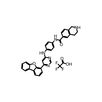 O=C(Nc1ccc(Nc2cc(-c3cccc4c3oc3ccccc34)ncn2)cc1)c1ccc2c(c1)CCNC2.O=C(O)C(F)(F)F